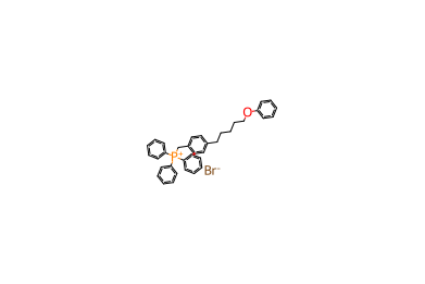 [Br-].c1ccc(OCCCCCc2ccc(C[P+](c3ccccc3)(c3ccccc3)c3ccccc3)cc2)cc1